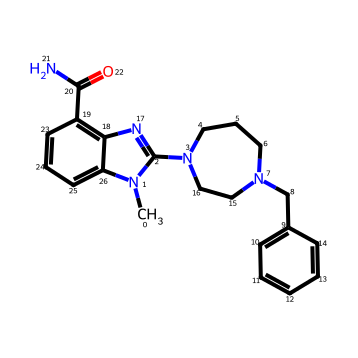 Cn1c(N2CCCN(Cc3ccccc3)CC2)nc2c(C(N)=O)cccc21